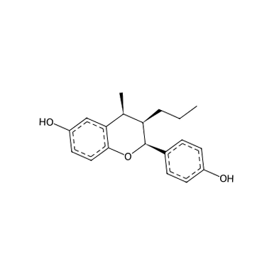 CCC[C@@H]1[C@H](C)c2cc(O)ccc2O[C@@H]1c1ccc(O)cc1